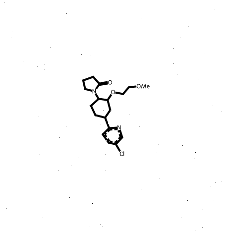 COCCOC1CC(c2ccc(Cl)cn2)C[CH]C1N1CCCC1=O